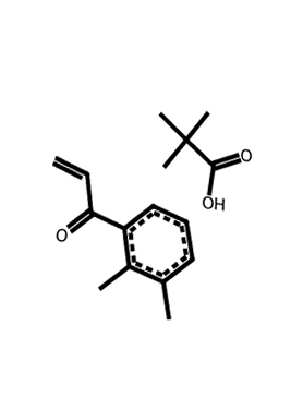 C=CC(=O)c1cccc(C)c1C.CC(C)(C)C(=O)O